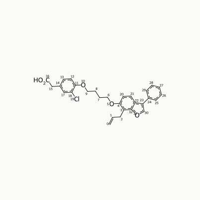 C=CCc1c(OCCCCOc2ccc(CC(=O)O)cc2Cl)ccc2c(-c3ccccc3)coc12